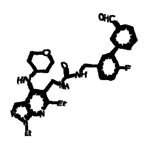 CCc1nc2c(cnn2CC)c(NC2CCOCC2)c1CNC(=O)NCc1ccc(F)c(-c2cccc(C=O)c2)c1